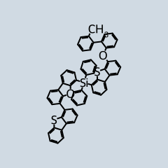 Cc1ccccc1-c1ccccc1Oc1cccc2c1sc1c([Si](c3ccccc3)(c3ccccc3)c3cccc4c3oc3c(-c5cccc6c5sc5ccccc56)cccc34)cccc12